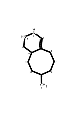 CC1CCCC2=CNNCC2CC1